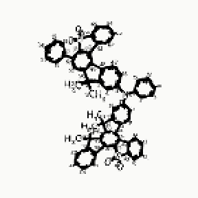 CC1(C)c2cc(N(c3ccccc3)c3ccc4c(c3)C(C)(C)c3c-4c4c(c5c3C(C)(C)c3ccccc3-5)S(=O)(=O)c3ccccc3-4)ccc2-c2c1cc(-c1ccccc1)c1c2-c2ccccc2S1(=O)=O